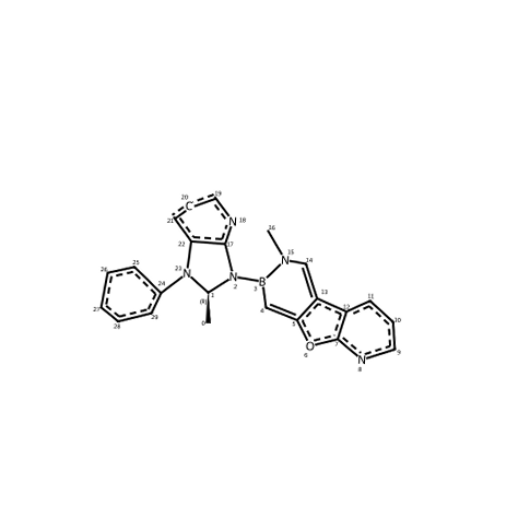 C[C@@H]1N(B2C=c3oc4ncccc4c3=CN2C)c2ncccc2N1c1ccccc1